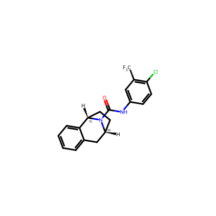 O=C(Nc1ccc(Cl)c(C(F)(F)F)c1)N1[C@@H]2CC[C@H]1c1ccccc1C2